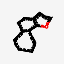 [c]1cc2ccc3ccccc3c2o1